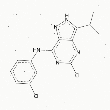 CC(C)c1[nH]nc2c(Nc3cccc(Cl)c3)nc(Cl)nc12